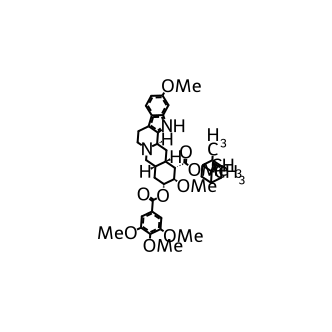 CC1=CCC2CC1C2(C)C.COC(=O)[C@H]1[C@H]2C[C@@H]3c4[nH]c5cc(OC)ccc5c4CCN3C[C@H]2C[C@@H](OC(=O)c2cc(OC)c(OC)c(OC)c2)[C@@H]1OC